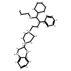 CCCOC(C1CCCCC1)C(CCN1CCN(C2COc3ccccc3O2)CC1)c1ccccc1